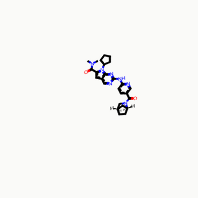 CN(C)C(=O)c1cc2cnc(Nc3ccc(C(=O)N4C[C@H]5CC[C@@H]4C5)cn3)nc2n1C1CCCC1